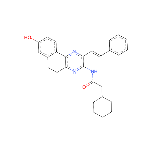 O=C(CC1CCCCC1)Nc1nc2c(nc1/C=C/c1ccccc1)-c1ccc(O)cc1CC2